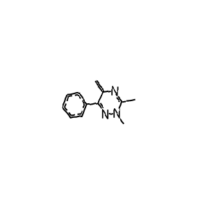 C=C1N=C(C)N(C)N=C1c1ccccc1